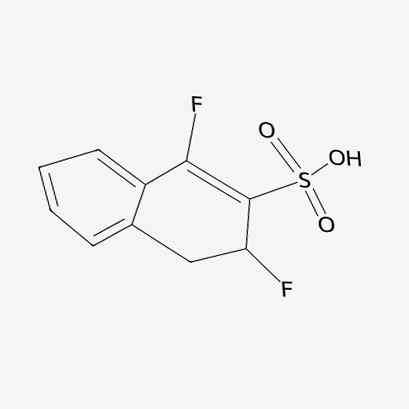 O=S(=O)(O)C1=C(F)c2ccccc2CC1F